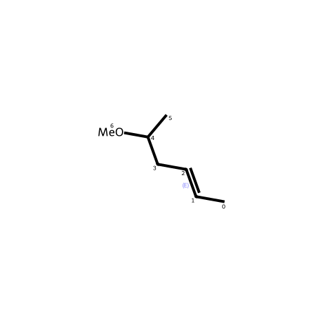 C/C=C/CC(C)OC